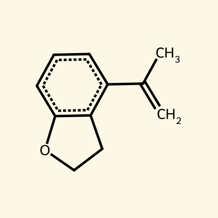 C=C(C)c1cccc2c1CCO2